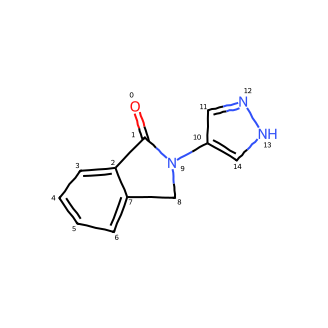 O=C1c2ccccc2CN1c1cn[nH]c1